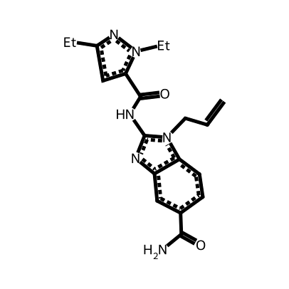 C=CCn1c(NC(=O)c2cc(CC)nn2CC)nc2cc(C(N)=O)ccc21